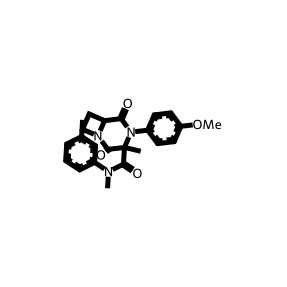 COc1ccc(N2C(=O)C3CCN3C(=O)C2(C)C(=O)N(C)c2cccc(C)c2)cc1